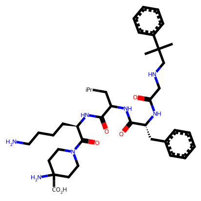 CC(C)CC(NC(=O)[C@@H](Cc1ccccc1)NC(=O)CNCC(C)(C)c1ccccc1)C(=O)N[C@H](CCCCN)C(=O)N1CCC(N)(C(=O)O)CC1